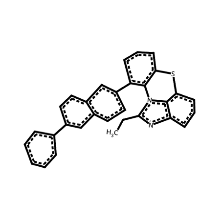 CCc1nc2cccc3c2n1-c1c(cccc1-c1ccc2cc(-c4ccccc4)ccc2c1)S3